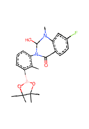 Cc1c(B2OC(C)(C)C(C)(C)O2)cccc1N1C(=O)c2ccc(F)cc2N(C)C1O